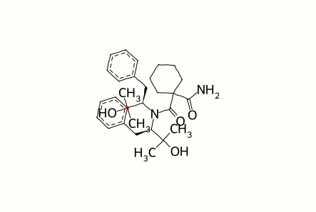 CC(C)(O)[C@@H](Cc1ccccc1)N(C(=O)C1(C(N)=O)CCCCC1)[C@H](Cc1ccccc1)C(C)(C)O